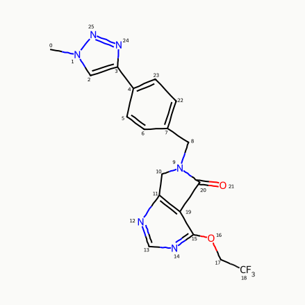 Cn1cc(-c2ccc(CN3Cc4ncnc(OCC(F)(F)F)c4C3=O)cc2)nn1